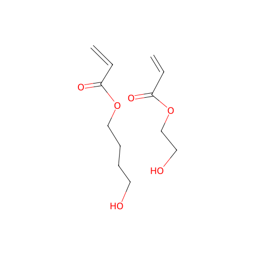 C=CC(=O)OCCCCO.C=CC(=O)OCCO